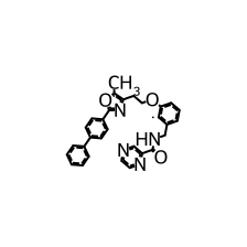 Cc1oc(-c2ccc(-c3ccccc3)cc2)nc1CCOc1[c]c(CNC(=O)c2cnccn2)ccc1